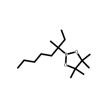 CCCCCC(C)(CC)B1OC(C)(C)C(C)(C)O1